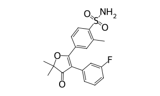 Cc1cc(C2=C(c3cccc(F)c3)C(=O)C(C)(C)O2)ccc1S(N)(=O)=O